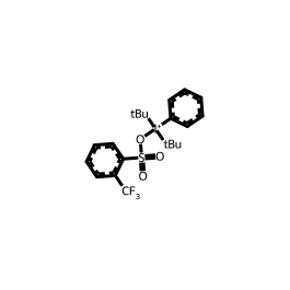 CC(C)(C)[I+](OS(=O)(=O)c1ccccc1C(F)(F)F)(c1ccccc1)C(C)(C)C